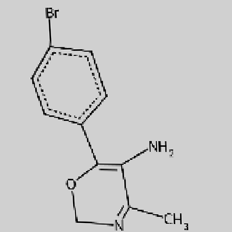 CC1=NCOC(c2ccc(Br)cc2)=C1N